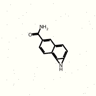 NC(=O)c1ccc2c3c(ccc2c1)N3